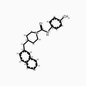 Cc1ccc(NC(=O)N2CCC(Cc3ccc4ccccc4c3)CC2)cc1